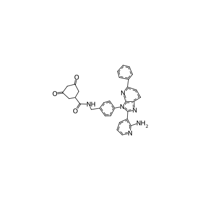 Nc1ncccc1-c1nc2ccc(-c3ccccc3)nc2n1-c1ccc(CNC(=O)C2CC(=O)CC(=O)C2)cc1